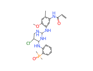 C=CC(=O)Nc1cc(NC2NCC(Cl)C(Nc3ccccc3P(C)(C)=O)N2)c(OC)cc1C